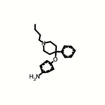 CCCCN1CCC(Oc2ccc(N)cc2)(c2ccccc2)CC1